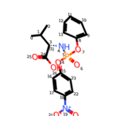 CC(C)[C@H](NP(=O)(Oc1ccccc1)Oc1ccc([N+](=O)[O-])cc1)C(=O)O